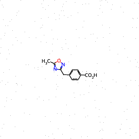 Cc1nc(Cc2ccc(C(=O)O)cc2)no1